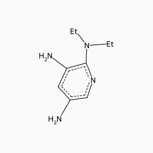 CCN(CC)c1ncc(N)cc1N